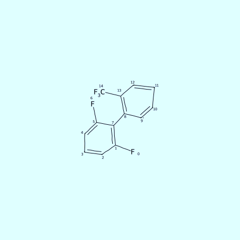 Fc1cccc(F)c1-c1[c]cccc1C(F)(F)F